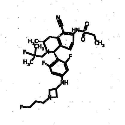 CCS(=O)(=O)Nc1ccc2c(c1C#N)C[C@@H](C)N(CC(C)(C)F)[C@@H]2c1c(F)cc(NC2CN(CCCF)C2)cc1F